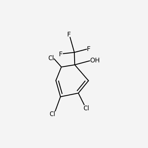 OC1(C(F)(F)F)C=C(Cl)C(Cl)=CC1Cl